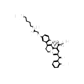 COC(=O)C1=CC(C(=O)c2ccccc2O)=CN2CCc3c([nH]c4ccc(OCC(=O)NCCCCN)cc34)[C@]12C(C)C